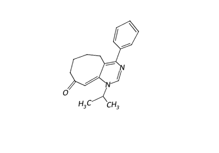 CC(C)N1C=NC(c2ccccc2)=C2CCCCC(=O)C=C21